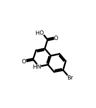 O=C(O)c1cc(=O)[nH]c2cc(Br)ccc12